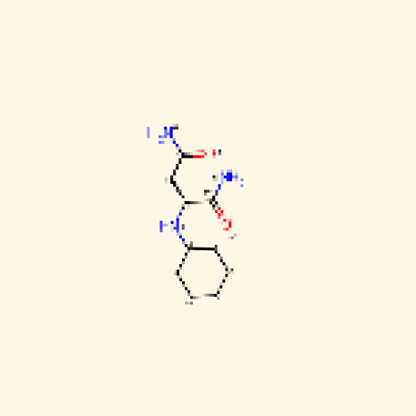 NC(=O)C[C@H](NC1CCCCC1)C(N)=O